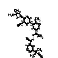 Cc1ncc(C(N)CCC(=O)c2cnnc(C(C)(C)C#N)c2)cc1-c1cnc(N2CC(C)(O)C2)c(C#N)c1